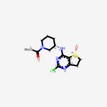 COC(=O)N1CCC[C@H](Nc2nc(Cl)nc3c2[S@+]([O-])CC3)C1